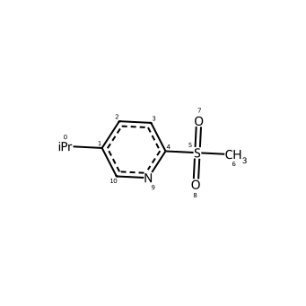 CC(C)c1ccc(S(C)(=O)=O)nc1